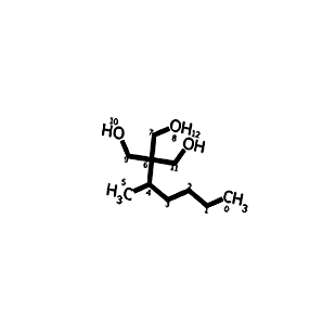 CCCCC(C)C(CO)(CO)CO